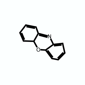 C1=CC2=Nc3ccccc3OC2C=C1